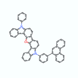 c1ccc(-n2c3ccccc3c3c4oc5c(ccc6c5c5ccccc5n6-c5cccc(-c6cc7ccccc7c7ccccc67)c5)c4ccc32)cc1